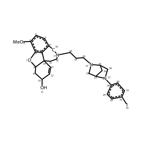 COc1ccc2c3c1OC1CC(O)C=CC31CCN(CCCN1CC3CC1CN3c1ccc(I)cc1)C2